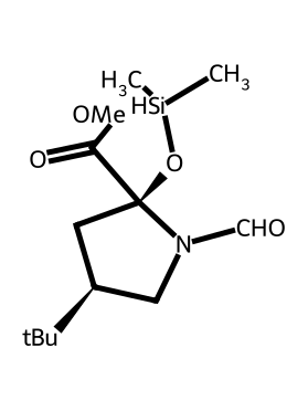 COC(=O)[C@@]1(O[SiH](C)C)C[C@H](C(C)(C)C)CN1C=O